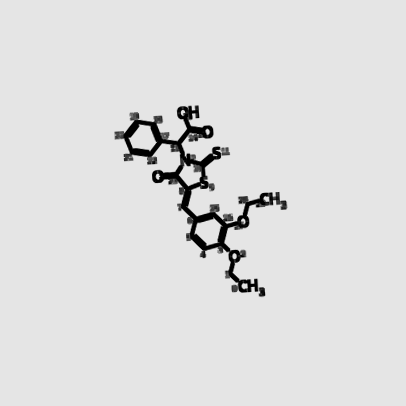 CCOc1ccc(/C=C2\SC(=S)N(C(C(=O)O)c3ccccc3)C2=O)cc1OCC